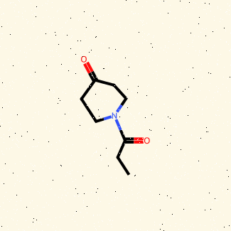 CCC(=O)N1CCC(=O)CC1